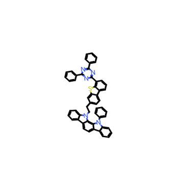 c1ccc(-c2nc(-c3ccccc3)nc(-c3cccc4c3sc3cc(CCn5c6ccccc6c6ccc7c8ccccc8n(-c8ccccc8)c7c65)ccc34)n2)cc1